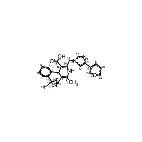 CC1=C(C#N)C(c2ccccc2C(F)(F)F)C(C(=O)O)=C(Cn2cnc(-c3ccccc3)c2)N1